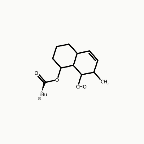 CC[C@H](C)C(=O)OC1CCCC2C=CC(C)C(C=O)C21